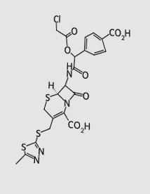 Cc1nnc(SCC2=C(C(=O)O)N3C(=O)C(NC(=O)C(OC(=O)CCl)c4ccc(C(=O)O)cc4)[C@@H]3SC2)s1